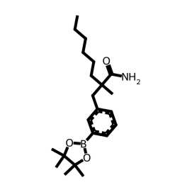 CCCCCCC(C)(Cc1cccc(B2OC(C)(C)C(C)(C)O2)c1)C(N)=O